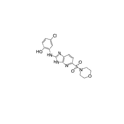 O=S(=O)(c1ccc2nc(Nc3cc(Cl)ccc3O)[nH]c2n1)N1CCOCC1